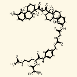 CC(C)C(N)C(=O)N[C@@H](CCCNC(N)=O)C(=O)Nc1ccc(COC(=O)NCC(=O)Nc2ccc3c(c2)[C@@]2(C)CCC[C@](C)(C(=O)NC(=O)[C@@]4(C)CCC[C@]5(C)c6cc(N)ccc6CC[C@@H]45)[C@@H]2CC3)cc1